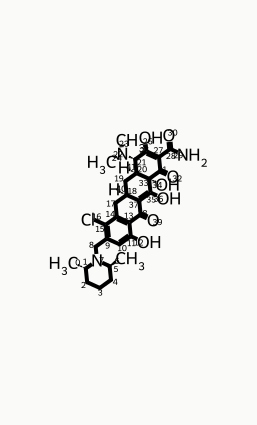 C[C@H]1CCC[C@H](C)N1Cc1cc(O)c2c(c1Cl)C[C@H]1C[C@H]3[C@H](N(C)C)C(O)=C(C(N)=O)C(=O)[C@@]3(O)C(O)=C1C2=O